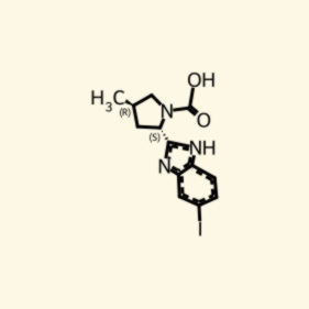 C[C@@H]1C[C@@H](c2nc3cc(I)ccc3[nH]2)N(C(=O)O)C1